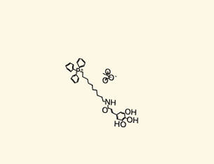 CS(=O)(=O)[O-].O=C(C=Cc1cc(O)c(O)c(O)c1)NCCCCCCCCCC[P+](c1ccccc1)(c1ccccc1)c1ccccc1